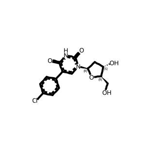 O=c1[nH]c(=O)n([C@H]2C[C@H](O)[C@@H](CO)O2)cc1-c1ccc(Cl)cc1